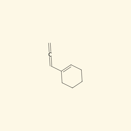 C=C=CC1=CCCCC1